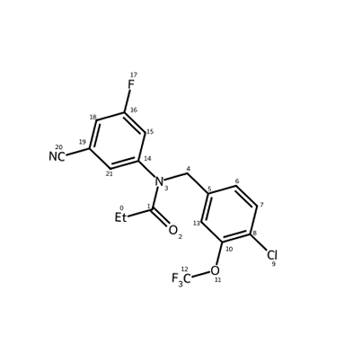 CCC(=O)N(Cc1ccc(Cl)c(OC(F)(F)F)c1)c1cc(F)cc(C#N)c1